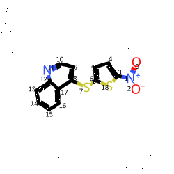 O=[N+]([O-])c1ccc(Sc2ccnc3ccccc23)s1